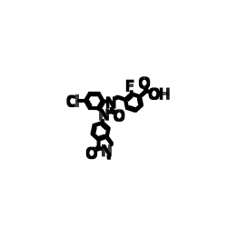 CN1Cc2cc(-n3c(=O)n(Cc4cccc(C(=O)O)c4F)c4ccc(Cl)cc43)ccc2C1=O